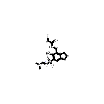 CN(C)/C=N/S(=O)(=O)c1cc2c(c(CNC(=O)CCl)c1O)CCC2